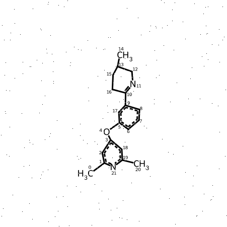 Cc1cc(Oc2cccc(C3=NCC(C)CC3)c2)cc(C)n1